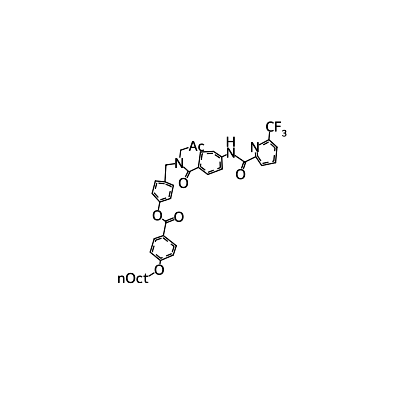 CCCCCCCCOc1ccc(C(=O)Oc2ccc(CN(CC(C)=O)C(=O)c3ccc(NC(=O)c4cccc(C(F)(F)F)n4)cc3)cc2)cc1